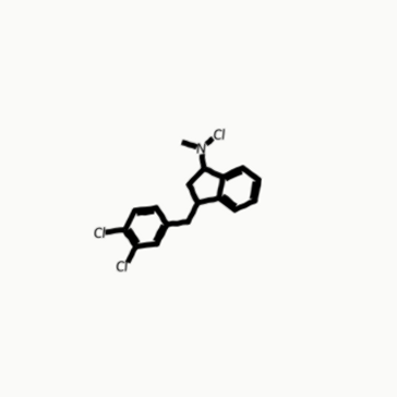 CN(Cl)C1CC(Cc2ccc(Cl)c(Cl)c2)c2ccccc21